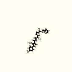 C/C(=N\NC(=O)c1ccc(C(=O)NCc2ccco2)s1)c1csc(-c2ccc(Br)cc2)c1O